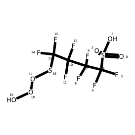 O=S(=O)(O)C(F)(F)C(F)(F)C(F)(F)C(F)(F)SOOO